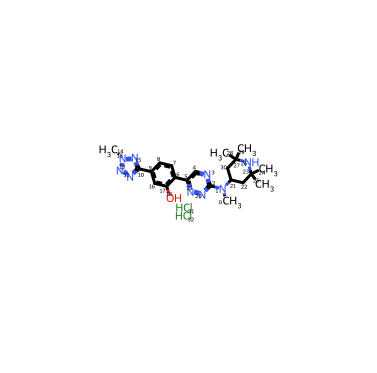 CN(c1ncc(-c2ccc(-c3nnn(C)n3)cc2O)nn1)C1CC(C)(C)NC(C)(C)C1.Cl.Cl